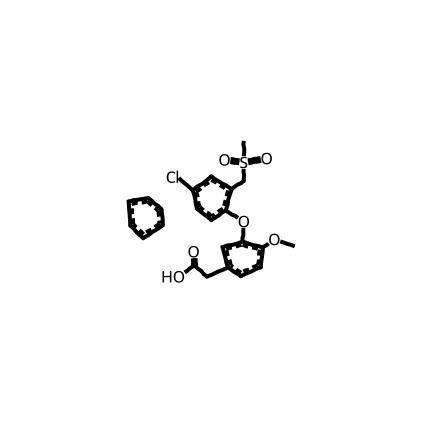 COc1ccc(CC(=O)O)cc1Oc1ccc(Cl)cc1CS(C)(=O)=O.c1ccccc1